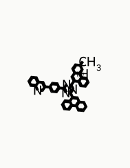 CC1C=CC2C=C(c3nc(-c4ccc(-c5cnc6ccccc6c5)cc4)nc(-c4cc5c(c6ccccc46)C=CCC5)n3)c3ccccc3[C@H]2C1